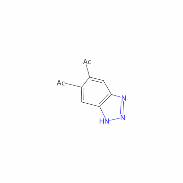 CC(=O)c1cc2nn[nH]c2cc1C(C)=O